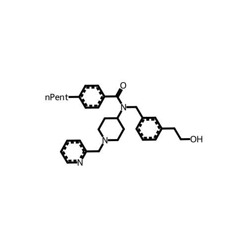 CCCCCc1ccc(C(=O)N(Cc2cccc(CCO)c2)C2CCN(Cc3ccccn3)CC2)cc1